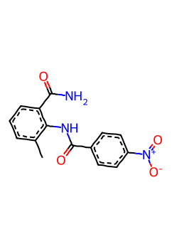 Cc1cccc(C(N)=O)c1NC(=O)c1ccc([N+](=O)[O-])cc1